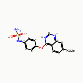 COc1ccc2c(Oc3ccc(NS(N)(=O)=O)cc3)ncnc2c1